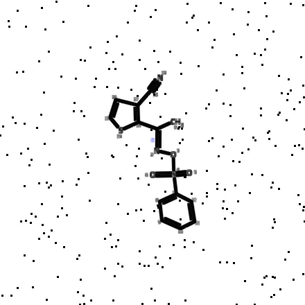 C/C(=N\OS(=O)(=O)c1ccccc1)c1sccc1C#N